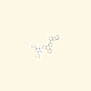 c1ccc(-c2nc(-c3ccccc3)nc(-c3ccc4c(c3)c3ccccc3c3ccc(-c5cccc6c5sc5ccccc56)cc34)n2)cc1